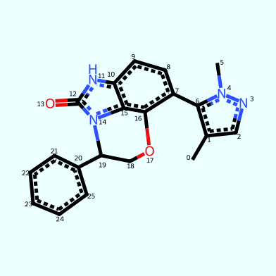 Cc1cnn(C)c1-c1ccc2[nH]c(=O)n3c2c1OCC3c1ccccc1